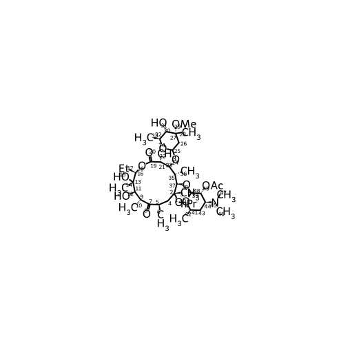 CCCO[C@]1(C)C[C@@H](C)C(=O)[C@H](C)[C@@H](O)[C@](C)(O)[C@@H](CC)OC(=O)[C@H](C)[C@@H](OC2C[C@@](C)(OC)[C@@H](O)[C@H](C)O2)[C@H](C)[C@H]1OC1O[C@H](C)C[C@H](N(C)C)[C@H]1OC(C)=O